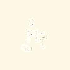 CCn1c(-c2nonc2N)nc2c(-c3ccccc3)ncc(OCC3CCCNC3)c21